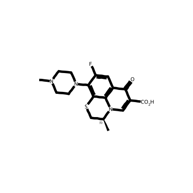 C[C@H]1CSc2c(N3CCN(C)CC3)c(F)cc3c(=O)c(C(=O)O)cn1c23